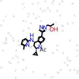 CC(=O)N1c2ccc(-c3cnn(CC(C)O)c3)cc2[C@H](Nc2cccc(C)n2)[C@@H](C)[C@@H]1C1CC1